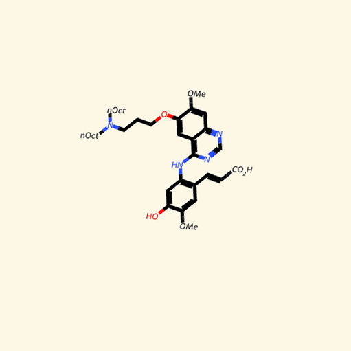 CCCCCCCCN(CCCCCCCC)CCCOc1cc2c(Nc3cc(O)c(OC)cc3/C=C/C(=O)O)ncnc2cc1OC